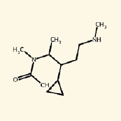 CNCCC(C1CC1)C(C)N(C)C(C)=O